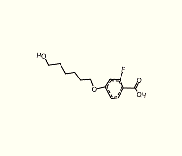 O=C(O)c1ccc(OCCCCCCO)cc1F